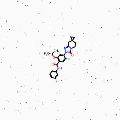 C[C@H](Oc1cc(-n2nc3n(c2=O)CCC2(CC2)C3)c(F)cc1C(=O)Nc1cccc(F)c1)C(F)(F)F